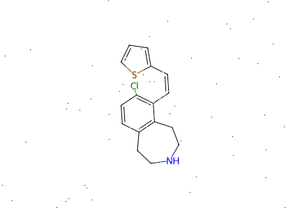 Clc1ccc2c(c1/C=C\c1cccs1)CCNCC2